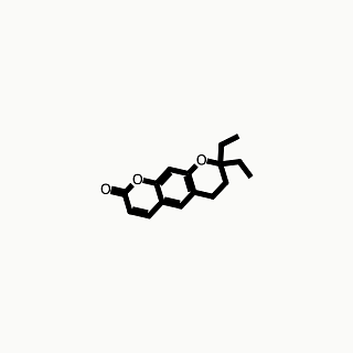 CCC1(CC)CCc2cc3ccc(=O)oc3cc2O1